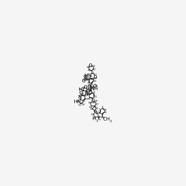 CC(C)c1ccccc1[C@@H]1CCCN1C1CC2(CCN(c3ccc(C(=O)NS(=O)(=O)c4cc5c(c([N+](=O)[O-])c4)N[C@H](C4CCOCC4)CO5)c(N4c5cc6cc[nH]c6nc5O[C@@H]5COC[C@H]54)c3)CC2)C1